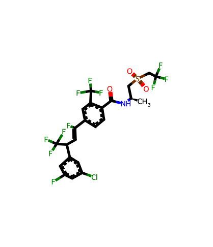 C[C@H](CS(=O)(=O)CC(F)(F)F)NC(=O)c1ccc(/C(F)=C/C(c2cc(F)cc(Cl)c2)C(F)(F)F)cc1C(F)(F)F